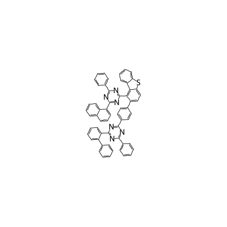 c1ccc(-c2nc(-c3ccc(-c4ccc5sc6ccccc6c5c4-c4nc(-c5ccccc5)nc(-c5cccc6ccccc56)n4)cc3)nc(-c3ccccc3-c3ccccc3)n2)cc1